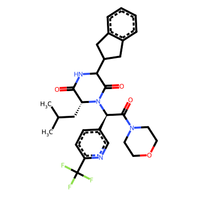 CC(C)C[C@@H]1C(=O)NC(C2Cc3ccccc3C2)C(=O)N1[C@@H](C(=O)N1CCOCC1)c1ccc(C(F)(F)F)nc1